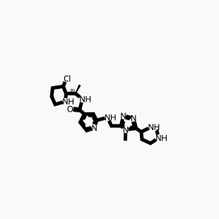 C[C@@H](NC(=O)c1ccnc(NCc2nnc(C3CCNCN3)n2C)c1)C1NCCCC1Cl